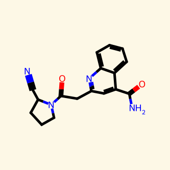 N#CC1CCCN1C(=O)Cc1cc(C(N)=O)c2ccccc2n1